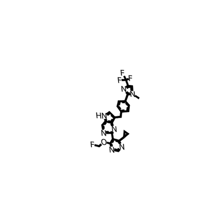 Cn1cc(C(F)(F)F)nc1-c1ccc(Cc2c[nH]c3cnc(-c4c(OCF)ncnc4C4CC4)nc23)cc1